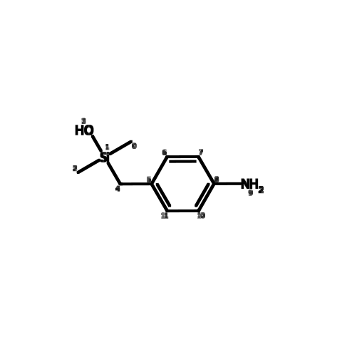 C[Si](C)(O)Cc1ccc(N)cc1